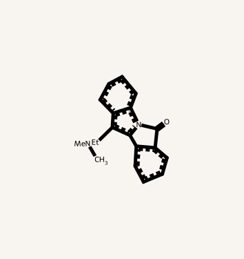 CCc1c2n(c3ccccc13)C(=O)c1ccccc1-2.CNC